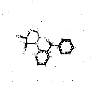 O=C1NCCN(c2ncccc2C(=O)c2ccccc2)C1=O